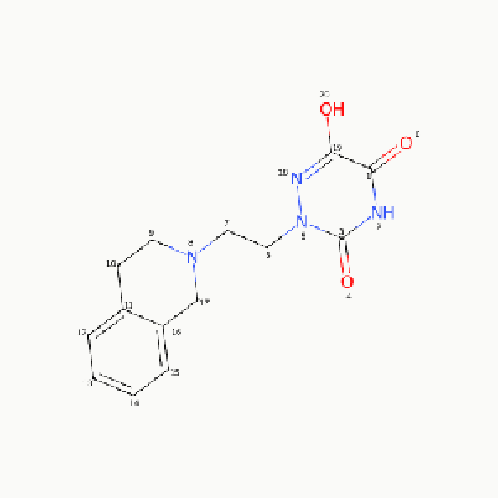 O=c1[nH]c(=O)n(CCN2CCc3ccccc3C2)nc1O